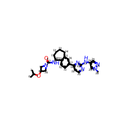 CC(C)OC1CN(C(=O)N[C@H]2CCCCc3cc(-c4ccnc(Nc5cnn(C)c5)n4)ccc32)C1